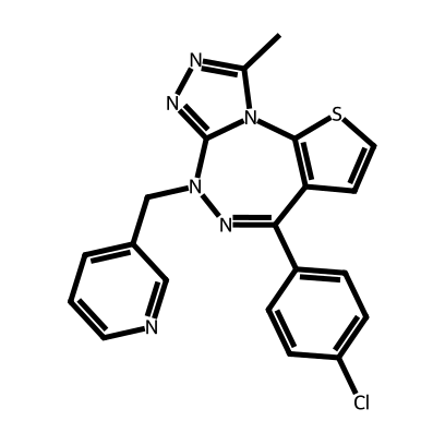 Cc1nnc2n1-c1sccc1C(c1ccc(Cl)cc1)=NN2Cc1cccnc1